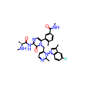 CNC(=O)c1ccc(C)c(-c2cnc(NC(=O)[C@H](C)NC)c(=O)n2CC2=CC=NC(C)N2n2cc(C)c3cc(F)ccc32)c1